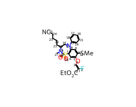 CCOC(=O)/C(F)=C/Oc1cc2c(cc1SC)N(c1ccccc1)CC(CCCCC#N)N(C)S2(=O)=O